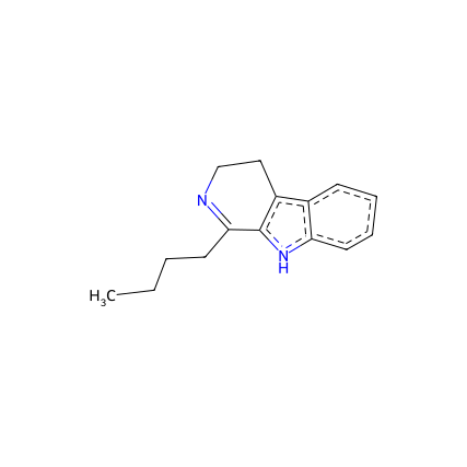 CCCCC1=NCCc2c1[nH]c1ccccc21